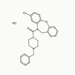 Cl.O=C(C1CCN(Cc2ccccc2)CC1)N1Cc2ccccc2Oc2ccc(Cl)cc21